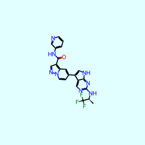 C[C@H](Nc1ncc2c(-c3ccn4ncc(C(=O)Nc5cccnc5)c4c3)c[nH]c2n1)C(F)(F)F